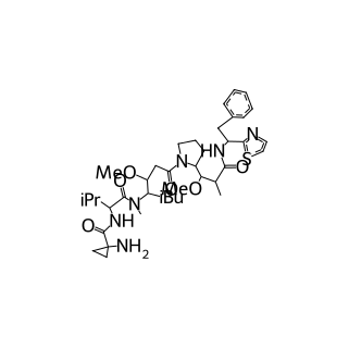 CCC(C)C(C(CC(=O)N1CCCC1C(OC)C(C)C(=O)NC(Cc1ccccc1)c1nccs1)OC)N(C)C(=O)C(NC(=O)C1(N)CC1)C(C)C